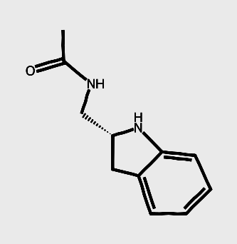 CC(=O)NC[C@H]1Cc2ccccc2N1